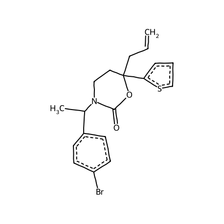 C=CCC1(c2cccs2)CCN(C(C)c2ccc(Br)cc2)C(=O)O1